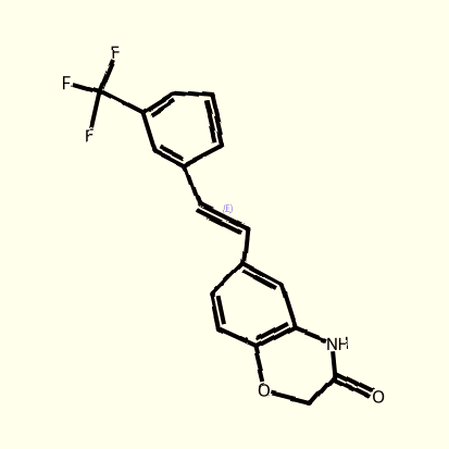 O=C1COc2ccc(/C=C/c3cccc(C(F)(F)F)c3)cc2N1